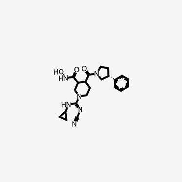 N#CN=C(NC1CC1)N1CCC(C(=O)N2CC[C@H](c3ccccc3)C2)C(C(=O)NO)C1